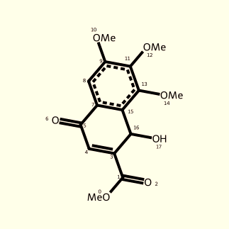 COC(=O)C1=CC(=O)c2cc(OC)c(OC)c(OC)c2C1O